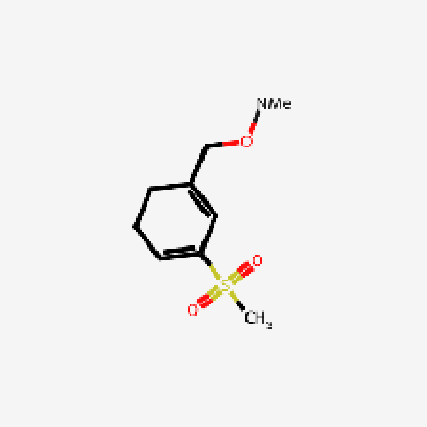 CNOCC1=CC(S(C)(=O)=O)=CCC1